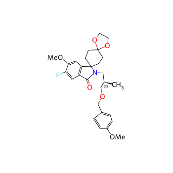 COc1ccc(COC[C@H](C)CN2C(=O)c3cc(F)c(OC)cc3C23CCC2(CC3)OCCO2)cc1